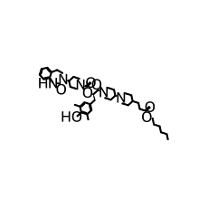 CCCCCCOC(=O)CCC1CCN(C2CCN(C(=O)[C@@H](Cc3cc(C)c(O)c(C)c3)OC(=O)N3CCC(N4CCc5ccccc5NC4=O)CC3)CC2)CC1